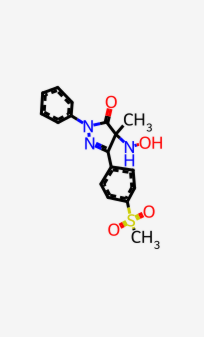 CC1(NO)C(=O)N(c2ccccc2)N=C1c1ccc(S(C)(=O)=O)cc1